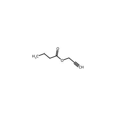 C#CCOC(=O)C[CH]C